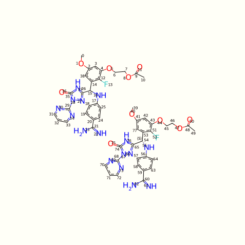 COc1cc(OCCOC(C)=O)c(F)c(C(Nc2ccc(C(=N)N)cc2)c2nn(-c3ncccn3)c(=O)[nH]2)c1.COc1cc(OCCOC(C)=O)c(F)c([C@H](Nc2ccc(C(=N)N)cc2)c2nn(-c3ncccn3)c(=O)[nH]2)c1